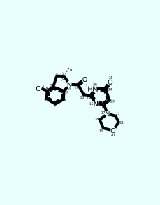 C[C@H]1Cc2c(Cl)cccc2N1C(=O)Cc1nc(N2CCOCC2)cc(=O)[nH]1